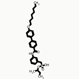 CCCCCCCCOc1ccc(-c2ccc(C(=O)Nc3cccc(CP(=O)(O)OC(C)CC)c3)cc2)cc1